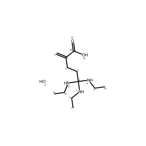 C=C(CCC(NCC)(NCC)NCC)C(=O)O.Cl